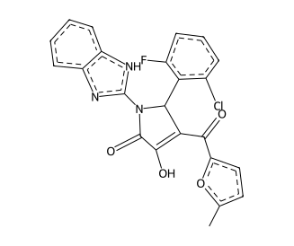 Cc1ccc(C(=O)C2=C(O)C(=O)N(c3nc4ccccc4[nH]3)C2c2c(F)cccc2Cl)o1